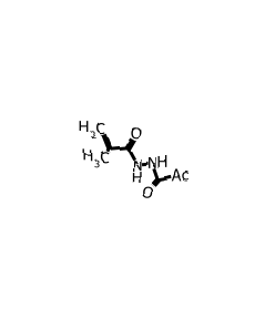 C=C(C)C(=O)NNC(=O)C(C)=O